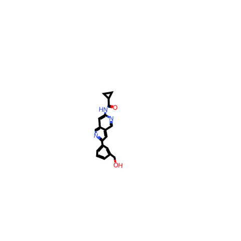 O=C(Nc1cc2cnc(-c3cccc(CO)c3)cc2cn1)C1CC1